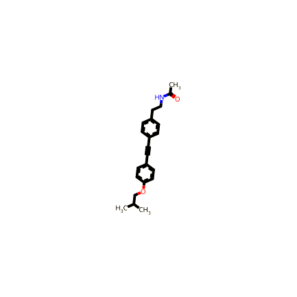 CC(=O)NCCc1ccc(C#Cc2ccc(OCC(C)C)cc2)cc1